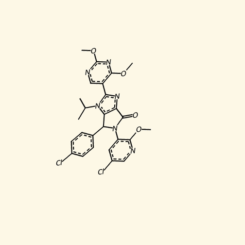 COc1ncc(-c2nc3c(n2C(C)C)C(c2ccc(Cl)cc2)N(c2cc(Cl)cnc2OC)C3=O)c(OC)n1